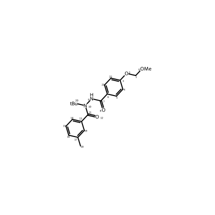 COCOc1ccc(C(=O)NN(C(=O)c2cccc(C)c2)C(C)(C)C)cc1